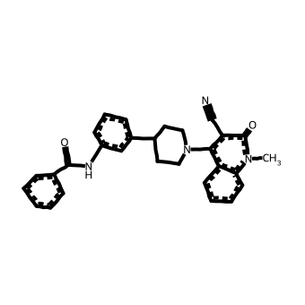 Cn1c(=O)c(C#N)c(N2CCC(c3cccc(NC(=O)c4ccccc4)c3)CC2)c2ccccc21